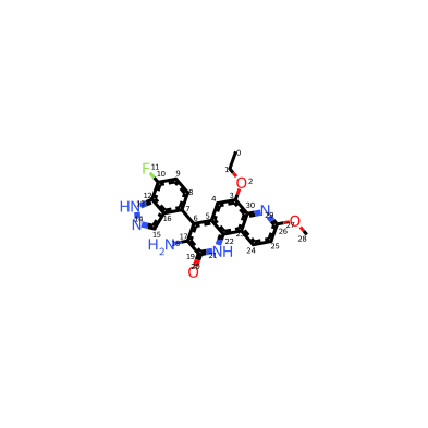 CCOc1cc2c(-c3ccc(F)c4[nH]ncc34)c(N)c(=O)[nH]c2c2ccc(OC)nc12